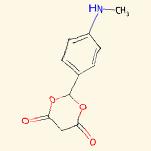 CNc1ccc(C2OC(=O)CC(=O)O2)cc1